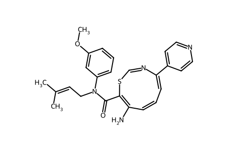 COc1cccc(N(CC=C(C)C)C(=O)c2scnc(-c3ccncc3)cccc2N)c1